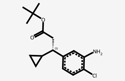 CC(C)(C)OC(=O)C[C@H](c1ccc(Cl)c(N)c1)C1CC1